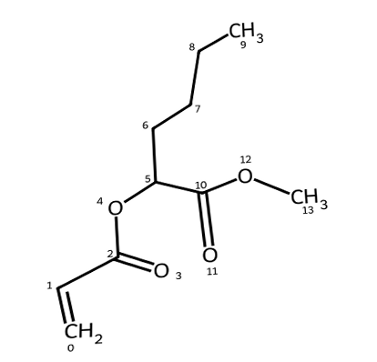 C=CC(=O)OC(CCCC)C(=O)OC